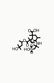 CCC(C)(CC(C)(CC(C)C(=O)NC(C)(C)CS(=O)(=O)O)C(=O)O)C(=O)OC(C)CC(C)(C)O